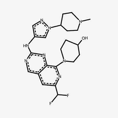 CN1CCC(n2cc(Nc3ncc4cc(C(F)F)nc(N5CCC(O)CC5)c4n3)cn2)CC1